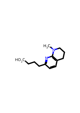 CN1CCCc2ccc(CCCC(=O)O)nc21